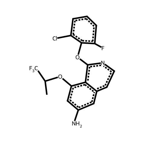 CC(Oc1cc(N)cc2ccnc(Oc3c(F)cccc3Cl)c12)C(F)(F)F